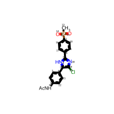 CC(=O)Nc1ccc(-c2[nH]c(-c3ccc(S(C)(=O)=O)cc3)nc2Cl)cc1